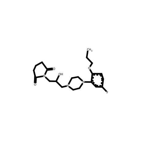 CCCOc1ccc(F)cc1N1CCN(CC(O)CN2C(=O)CCCC2=O)CC1